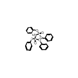 O=P(NP(=O)(Oc1ccccc1)Oc1ccccc1)(Oc1ccccc1)Oc1ccccc1